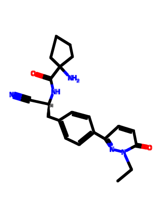 CCn1nc(-c2ccc(C[C@@H](C#N)NC(=O)C3(N)CCCC3)cc2)ccc1=O